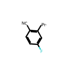 C[C](C)c1cc(F)ccc1C#N